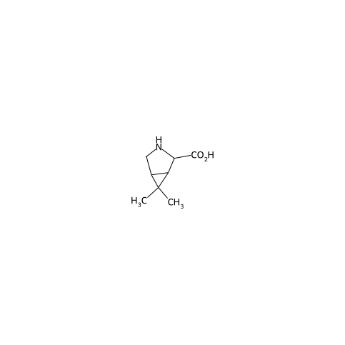 CC1(C)C2CNC(C(=O)O)C21